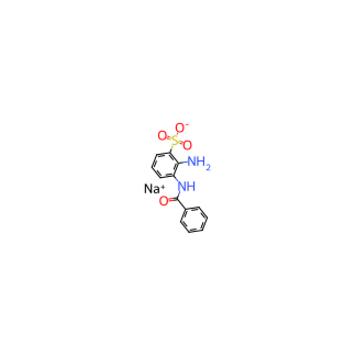 Nc1c(NC(=O)c2ccccc2)cccc1S(=O)(=O)[O-].[Na+]